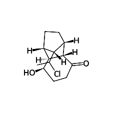 CC(Cl)[C@H]1[C@@H]2CC[C@H]1[C@H]1[C@H]2C(=O)CC[C@H]1O